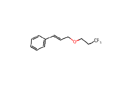 FC(F)(F)CCOCC=Cc1ccccc1